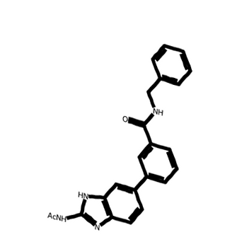 CC(=O)Nc1nc2ccc(-c3cccc(C(=O)NCc4ccccc4)c3)cc2[nH]1